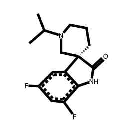 CC(C)N1CCC[C@]2(C1)C(=O)Nc1c(F)cc(F)cc12